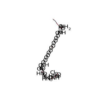 CCCCCCCCCCCC(=O)NC(CCCCNC(=O)CCOCCOCCOCCOCCOCCOCCOCCOCCOCCOCCOCCOCCNC(=O)CCN1C(=O)CC(SCCNC(=O)CN2CCN(CCNC(=O)[C@@H]3CCCC[C@@H]3C(=O)NCCNC3=Nc4ccccc4Oc4ccc(Cl)cc43)CC2)C1=O)C(N)=O